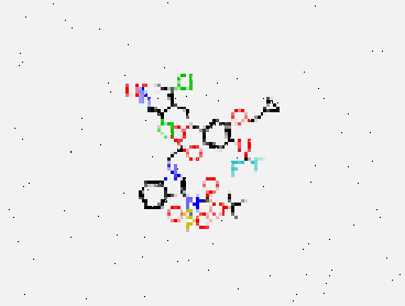 CC(C)(C)OC(=O)N(c1cn(CC(=O)O[C@@H](Cc2c(Cl)c[n+]([O-])cc2Cl)c2ccc(OC(F)F)c(OCC3CC3)c2)c2ccccc12)S(C)(=O)=O